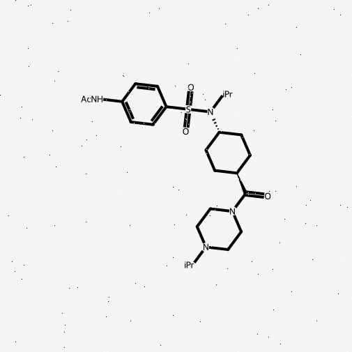 CC(=O)Nc1ccc(S(=O)(=O)N(C(C)C)[C@H]2CC[C@H](C(=O)N3CCN(C(C)C)CC3)CC2)cc1